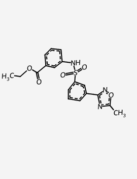 CCOC(=O)c1cccc(NS(=O)(=O)c2cccc(-c3noc(C)n3)c2)c1